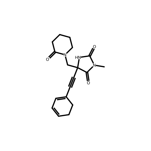 CN1C(=O)NC(C#CC2=CC=CCC2)(CN2CCCCC2=O)C1=O